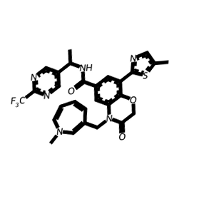 Cc1cnc(-c2cc(C(=O)NC(C)c3cnc(C(F)(F)F)nc3)cc3c2OCC(=O)N3CC2=CN(C)C=CC=C2)s1